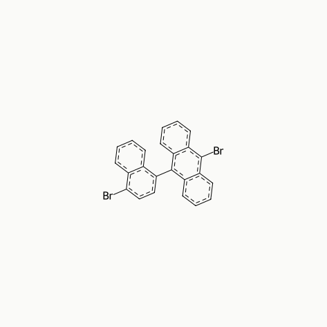 Brc1ccc(-c2c3ccccc3c(Br)c3ccccc23)c2ccccc12